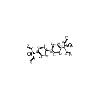 C=CP(=O)(C=C)c1ccc(-c2ccc(P(=O)(C=C)C=C)cc2)cc1